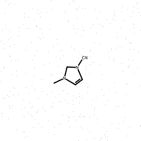 CN1C=CN(C#N)C1